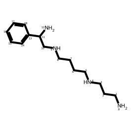 NCCCNCCCCNCC(N)c1ccccc1